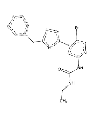 CCNC(=O)Nc1cc(-c2nc(Cc3ccncc3)cs2)c(Br)cn1